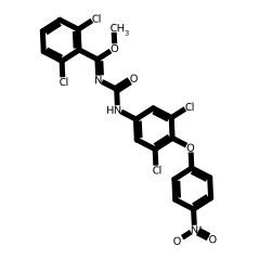 COC(=NC(=O)Nc1cc(Cl)c(Oc2ccc([N+](=O)[O-])cc2)c(Cl)c1)c1c(Cl)cccc1Cl